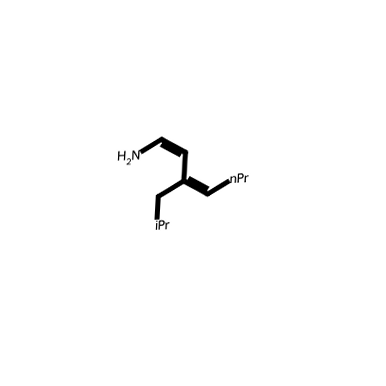 CCC/C=C(\C=C/N)CC(C)C